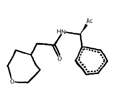 CC(=O)[C@H](NC(=O)CC1CCOCC1)c1ccccc1